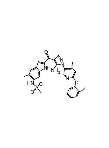 Cc1cc2cc(C(=O)c3cnn(-c4cnc(Oc5ccccc5F)cc4C)c3N)[nH]c2cc1NS(C)(=O)=O